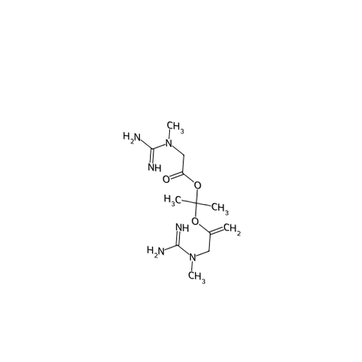 C=C(CN(C)C(=N)N)OC(C)(C)OC(=O)CN(C)C(=N)N